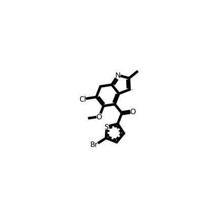 COC1=C(Cl)CC2=NC(C)=[C]C2=C1C(=O)c1ccc(Br)s1